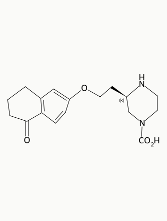 O=C1CCCc2cc(OCC[C@@H]3CN(C(=O)O)CCN3)ccc21